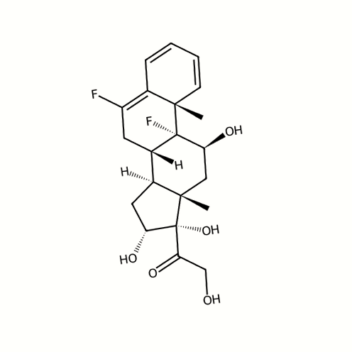 C[C@]12C=CC=CC1=C(F)C[C@H]1[C@@H]3C[C@@H](O)[C@](O)(C(=O)CO)[C@@]3(C)C[C@H](O)[C@@]12F